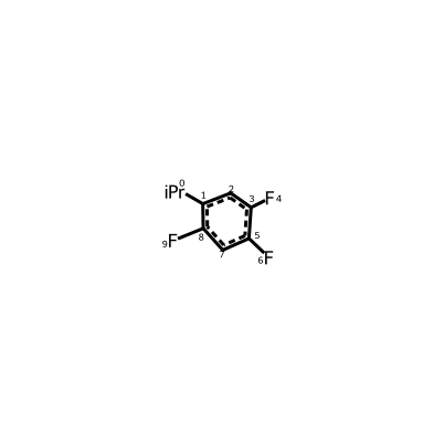 CC(C)c1cc(F)c(F)cc1F